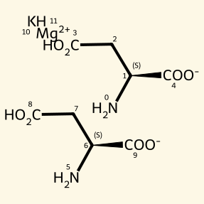 N[C@@H](CC(=O)O)C(=O)[O-].N[C@@H](CC(=O)O)C(=O)[O-].[KH].[Mg+2]